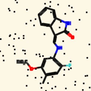 CCOC(=O)Oc1cc(NC=C2C(=O)Nc3ccccc32)c(F)cc1C